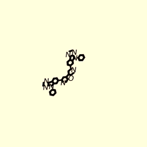 c1ccc(-n2c3cc(-c4cc5c(cn4)oc4cnc(-c6ccc7c8nccnc8n(-c8ccccc8)c7c6)cc45)ccc3c3nccnc32)cc1